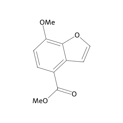 COC(=O)c1ccc(OC)c2occc12